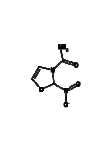 NC(=O)N1C=COC1[N+](=O)[O-]